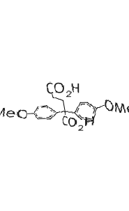 COc1ccc(C(CCC(=O)O)(C(=O)O)c2ccc(OC)cc2)cc1